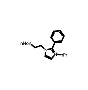 CCCCCCCCCCCn1cc[n+](CCC)c1-c1ccccc1